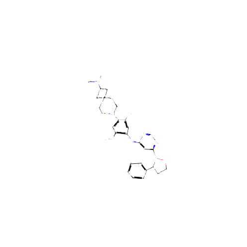 COc1cc(N2CCC3(CC2)CC(N(C)C)C3)c(C)cc1Nc1cc(N2OCCC2c2ccccc2)ncn1